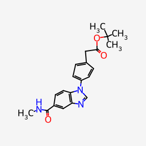 CNC(=O)c1ccc2c(c1)ncn2-c1ccc(CC(=O)OC(C)(C)C)cc1